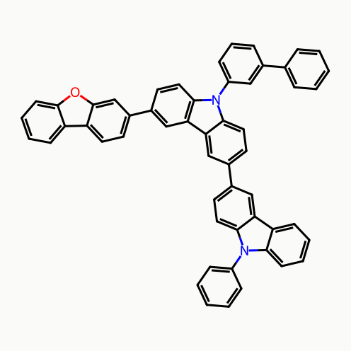 c1ccc(-c2cccc(-n3c4ccc(-c5ccc6c(c5)oc5ccccc56)cc4c4cc(-c5ccc6c(c5)c5ccccc5n6-c5ccccc5)ccc43)c2)cc1